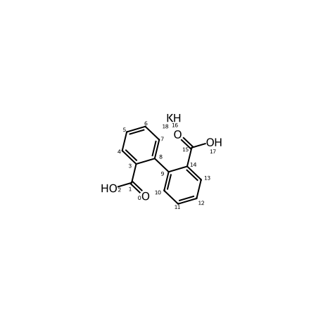 O=C(O)c1ccccc1-c1ccccc1C(=O)O.[KH]